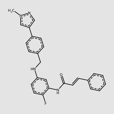 Cn1cc(-c2ccc(CNc3ccc(F)c(NC(=O)C=Cc4ccccc4)c3)cc2)cn1